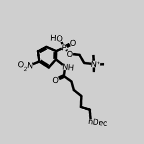 CCCCCCCCCCCCCCCC(=O)Nc1cc([N+](=O)[O-])ccc1P(=O)(O)OCC[N+](C)(C)C